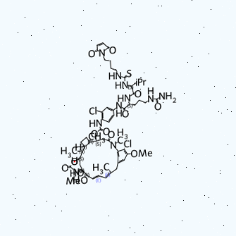 COc1cc2cc(c1Cl)N(C)C(=O)C[C@H](OC(=O)Nc1ccc(NC(=O)[C@H](CCCNC(N)=O)NC(=O)[C@@H](NC(=S)NCCCCN3C(=O)C=CC3=O)C(C)C)cc1Cl)[C@]1(C)CC[C@H]1[C@H](C)[C@@H]1C[C@@](O)(NC(=O)O1)[C@H](OC)/C=C/C=C(\C)C2